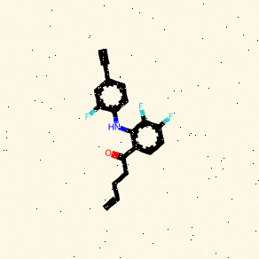 C#Cc1ccc(Nc2c(C(=O)CCC=C)ccc(F)c2F)c(F)c1